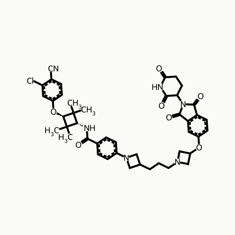 CC1(C)[C@H](NC(=O)c2ccc(N3CC(CCCN4CC(Oc5ccc6c(c5)C(=O)N(C5CCC(=O)NC5=O)C6=O)C4)C3)cc2)C(C)(C)[C@H]1Oc1ccc(C#N)c(Cl)c1